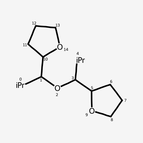 CC(C)C(OC(C(C)C)C1CCCO1)C1CCCO1